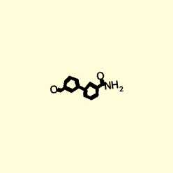 NC(=O)c1cccc(-c2cccc(C=O)c2)c1